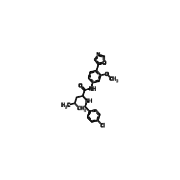 COc1cc(NC(=O)C(CC(C)C)NCc2ccc(Cl)cc2)ccc1-c1cnco1